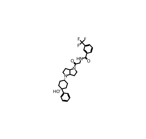 O=C(NCC(=O)N1CCC2C1CCN2[C@H]1CC[C@](O)(c2ccccc2)CC1)c1cccc(C(F)(F)F)c1